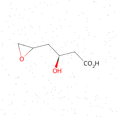 O=C(O)C[C@@H](O)CC1CO1